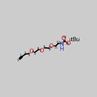 C#CCCOCCOCCOCCNC(=O)OC(C)(C)C